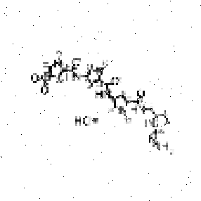 CCC(CNC(=O)c1cc(NC(=O)c2cc(NC(=O)c3cc([N+](=O)[O-])cn3C)cn2C)cn1C)NC=NN.Cl